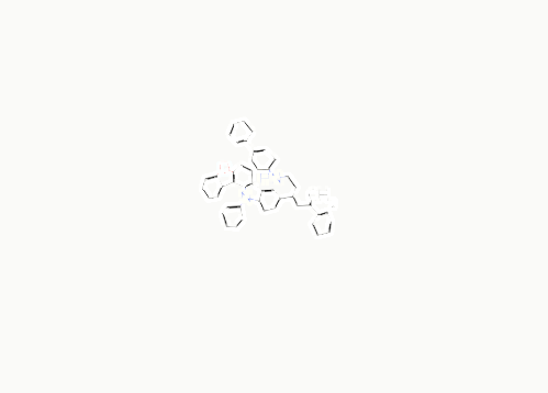 C=C(/C=C(\C=C/Nc1ccc(-c2ccccc2)cc1)c1ccc2c(c1)c1ccc3oc4ccccc4c3c1n2-c1ccccc1)c1ccccc1